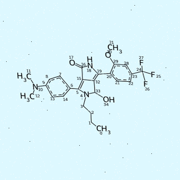 CCCCN1C(c2ccc(N(C)C)cc2)=C2C(=O)NC(c3ccc(C(F)(F)F)cc3OC)=C2C1O